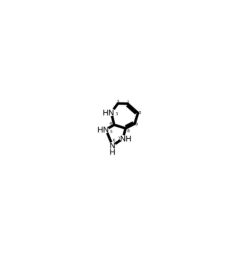 C1=CCNC2NNNC2=C1